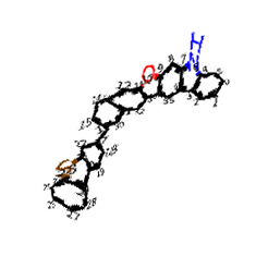 c1ccc2c(c1)[nH]c1cc3oc4cc5ccc(-c6ccc7c(c6)sc6ccccc67)cc5cc4c3cc12